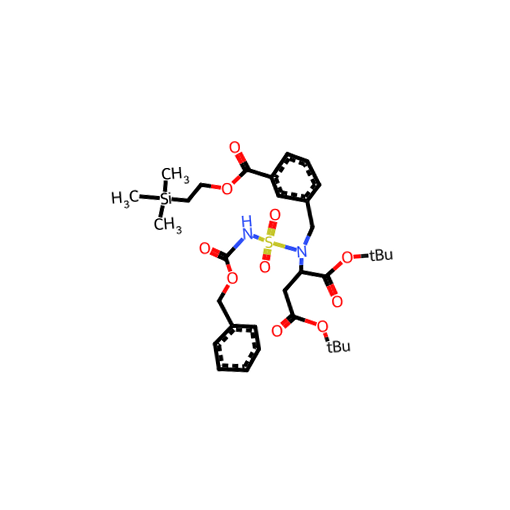 CC(C)(C)OC(=O)CC(C(=O)OC(C)(C)C)N(Cc1cccc(C(=O)OCC[Si](C)(C)C)c1)S(=O)(=O)NC(=O)OCc1ccccc1